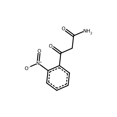 NC(=O)CC(=O)c1ccccc1[N+](=O)[O-]